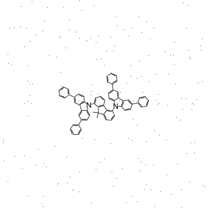 CC1(C)c2cccc(-n3c4ccc(-c5ccccc5)cc4c4cc(-c5ccccc5)ccc43)c2-c2cccc(-n3c4ccc(-c5ccccc5)cc4c4cc(-c5ccccc5)ccc43)c21